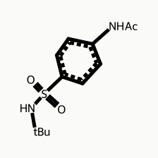 CC(=O)Nc1ccc(S(=O)(=O)NC(C)(C)C)cc1